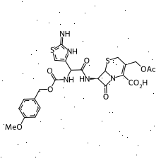 COc1ccc(COC(=O)NC(C(=O)N[C@@H]2C(=O)N3C(C(=O)O)=C(COC(C)=O)CSC23)c2csc(=N)[nH]2)cc1